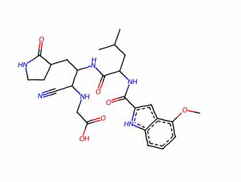 COc1cccc2[nH]c(C(=O)NC(CC(C)C)C(=O)NC(CC3CCNC3=O)C(C#N)NCC(=O)O)cc12